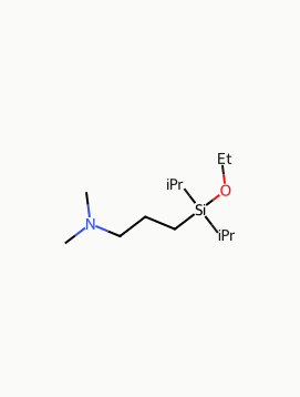 CCO[Si](CCCN(C)C)(C(C)C)C(C)C